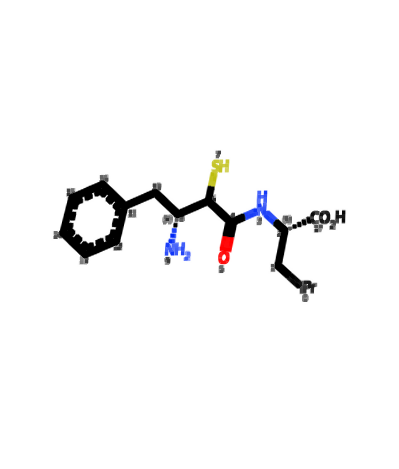 CC(C)C[C@H](NC(=O)C(S)[C@H](N)Cc1ccccc1)C(=O)O